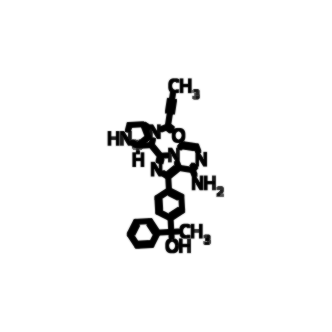 CC#CC(=O)N1C2CN[C@@H](C2)C1c1nc(-c2ccc(C(C)(O)c3ccccc3)cc2)c2c(N)nccn12